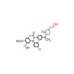 COc1cc2c(cc1OC(C)C)[C@H](c1ccc(Cl)cc1)N(c1ccc([C@@H](C)N3CCN(CCO)CC3=O)cc1)C(=O)C2